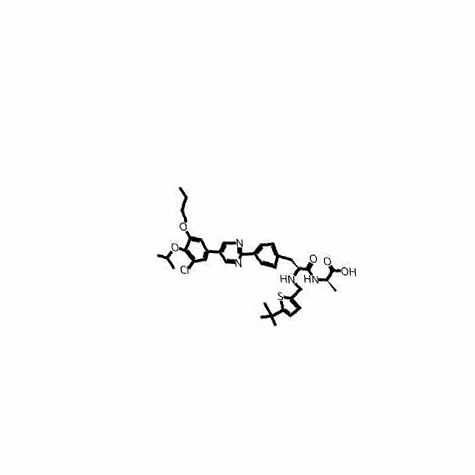 CCCCOc1cc(-c2cnc(-c3ccc(C[C@H](NCc4ccc(C(C)(C)C)s4)C(=O)N[C@H](C)C(=O)O)cc3)nc2)cc(Cl)c1OC(C)C